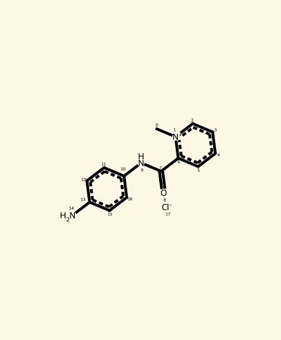 C[n+]1ccccc1C(=O)Nc1ccc(N)cc1.[Cl-]